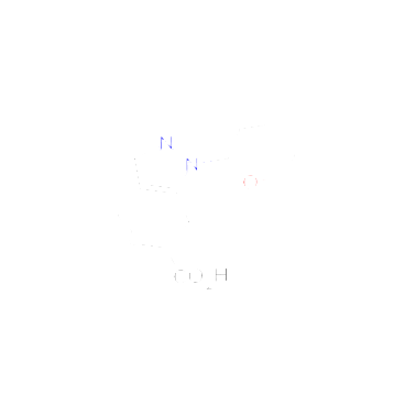 CC1CCCOC1n1ncc2ccc(C(=O)O)cc21